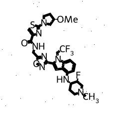 CO[C@H]1CCN(c2nc(C(=O)NCc3nc(-c4cc5c(N[C@@H]6CCN(C)C[C@@H]6F)cccc5n4CC(F)(F)F)no3)cs2)C1